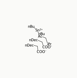 CC(=O)CC(C)C.CCCCCCCCCCCC(=O)[O-].CCCCCCCCCCCC(=O)[O-].CCC[CH2][Sn+2][CH2]CCC